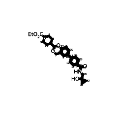 CCOC(=O)N1CCC(C2OCc3cc(-c4ccc(C(=O)NCC5(O)CC5)cc4)ccc3O2)CC1